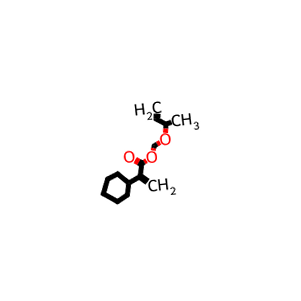 C=CC(C)OCOC(=O)C(=C)C1CCCCC1